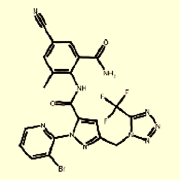 Cc1cc(C#N)cc(C(N)=O)c1NC(=O)c1cc(Cn2nnnc2C(F)(F)F)nn1-c1ncccc1Br